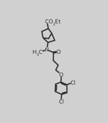 CCOC(=O)C1CC2CC1CC2N(C)C(=O)CCCOc1ccc(Cl)cc1Cl